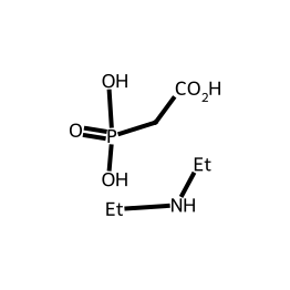 CCNCC.O=C(O)CP(=O)(O)O